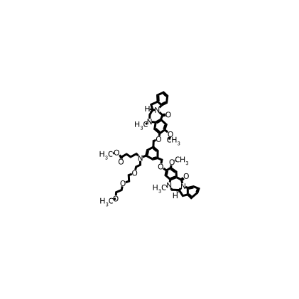 COCCOCCOCCN(CCCC(=O)OC)c1cc(COc2cc3c(cc2OC)C(=O)N2c4ccccc4C[C@H]2CN3C)cc(COc2cc3c(cc2OC)C(=O)N2c4ccccc4C[C@H]2CN3C)c1